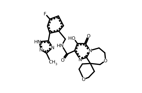 Cc1n[nH]c(-c2cc(F)ccc2CNC(=O)c2nc3n(c(=O)c2O)CCOCC32CCOCC2)n1